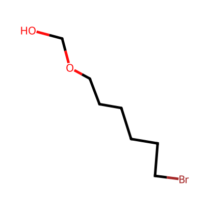 OCOCCCCCCBr